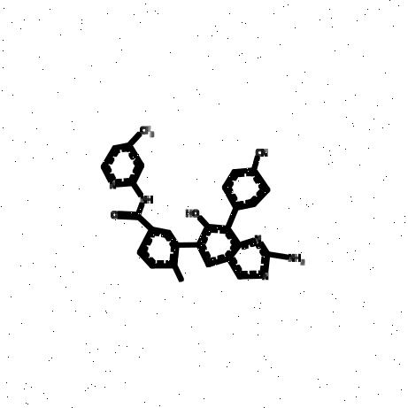 Cc1ccc(C(=O)Nc2cc(C(F)(F)F)ccn2)cc1-c1cc2cnc(N)nc2c(-c2ccc(C#N)cc2)c1O